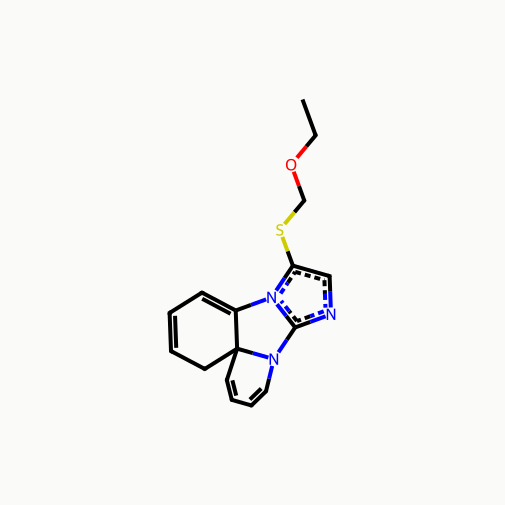 CCOCSc1cnc2n1C1=CC=CCC13C=CC=CN23